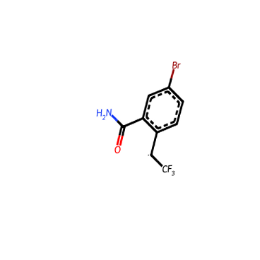 NC(=O)c1cc(Br)ccc1[CH]C(F)(F)F